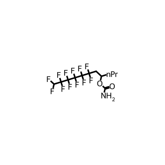 CCCC(CC(F)(F)C(F)(F)C(F)(F)C(F)(F)C(F)(F)C(F)F)OC(N)=O